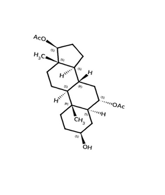 CC(=O)O[C@H]1C[C@@H]2[C@H](CC[C@]3(C)[C@@H](OC(C)=O)CC[C@@H]23)[C@@]2(C)CC[C@H](O)C[C@H]12